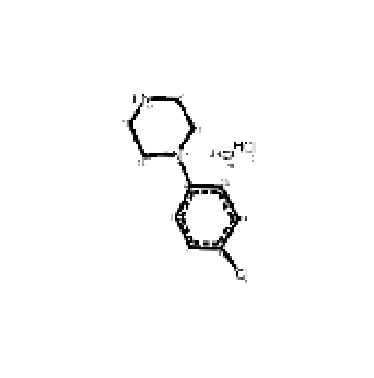 Cl.Cl.Clc1ccc(N2CCNCC2)cc1